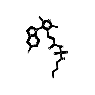 CCCCNS(=O)(=O)NC(=O)C=Cc1c(C)nn(C)c1-n1ccc2cc(F)ccc21